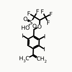 C=C(C)c1cc(I)c(COC(C(F)(F)F)C(F)(F)S(=O)(=O)O)c(I)c1I